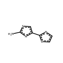 Nc1nc(-c2nccs2)cs1